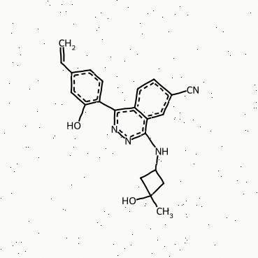 C=Cc1ccc(-c2nnc(NC3CC(C)(O)C3)c3cc(C#N)ccc23)c(O)c1